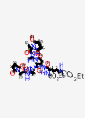 CCOC(=O)NCCCCC(NC(=O)OCC)C(=O)NC(CC(=O)NC(C)NC(=O)C(C)N1C(=O)C=CC1=O)CC(=O)NC(C)NC(=O)C(C)N1C(=O)C=CC1=O